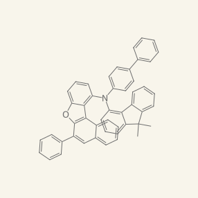 CC1(C)c2ccccc2-c2c(N(c3ccc(-c4ccccc4)cc3)c3cccc4oc5c(-c6ccccc6)cc6ccccc6c5c34)cccc21